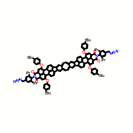 CC(C)c1cc(CN=[N+]=[N-])cc(C(C)C)c1N1C(=O)c2cc(Oc3ccc(C(C)(C)C)cc3)c3c4ccc5c6cc7ccc8cc9c(cc8ccc7cc6c6ccc(c7c(Oc8ccc(C(C)(C)C)cc8)cc(c2c37)C1=O)c4c56)c1ccc2c3c(Oc4ccc(C(C)(C)C)cc4)cc4c5c(cc(Oc6ccc(C(C)(C)C)cc6)c(c6ccc9c1c62)c53)C(=O)N(c1c(C(C)C)cc(CN=[N+]=[N-])cc1C(C)C)C4=O